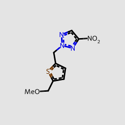 COCc1ccc(Cn2ncc([N+](=O)[O-])n2)s1